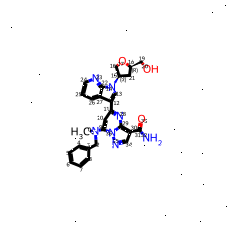 CN(Cc1ccccc1)c1cc(-c2cn([C@H]3CO[C@@H](CO)C3)c3ncccc23)nc2c(C(N)=O)cnn12